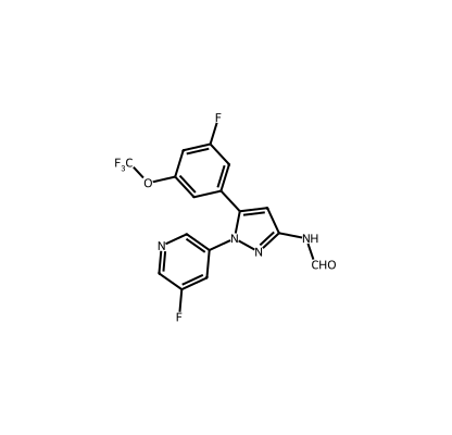 O=CNc1cc(-c2cc(F)cc(OC(F)(F)F)c2)n(-c2cncc(F)c2)n1